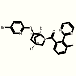 O=C(c1cccc(F)c1-c1ncccn1)N1C[C@H]2C[C@@H](Oc3ccc(Br)cn3)[C@@H]1C2